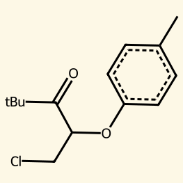 Cc1ccc(OC(CCl)C(=O)C(C)(C)C)cc1